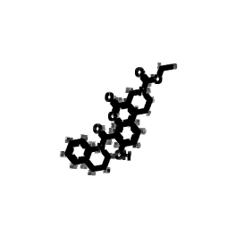 CCOC(=O)N1CCc2c(c(=O)oc3c(C(=O)N4CCCc5ccccc54)c(O)ccc23)C1